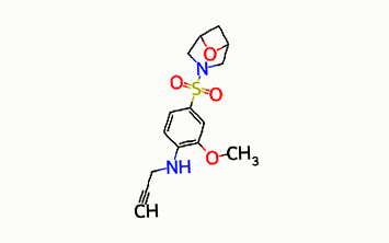 C#CCNc1ccc(S(=O)(=O)N2CC3CC(C2)O3)cc1OC